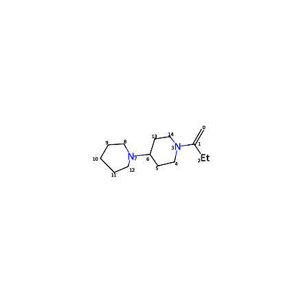 C=C(CC)N1CCC(N2CCCCC2)CC1